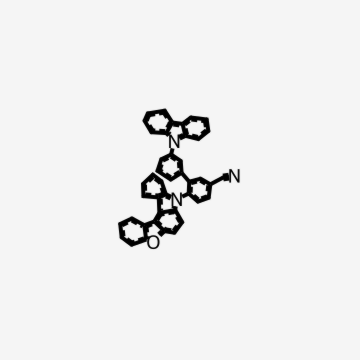 N#Cc1ccc(-n2c3ccccc3c3c4c(ccc32)oc2ccccc24)c(-c2cccc(-n3c4ccccc4c4ccccc43)c2)c1